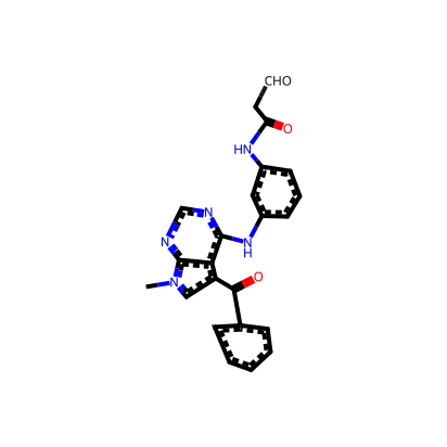 Cn1cc(C(=O)c2ccccc2)c2c(Nc3cccc(NC(=O)CC=O)c3)ncnc21